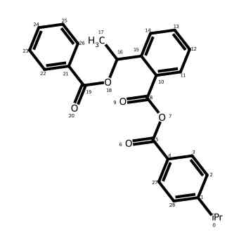 CC(C)c1ccc(C(=O)OC(=O)c2ccccc2C(C)OC(=O)c2ccccc2)cc1